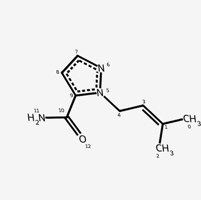 CC(C)=CCn1nccc1C(N)=O